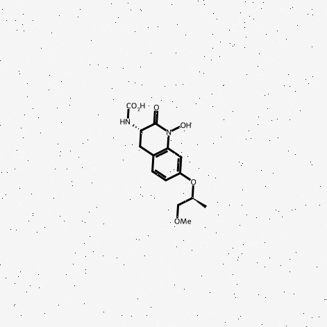 COC[C@H](C)Oc1ccc2c(c1)N(O)C(=O)[C@@H](NC(=O)O)C2